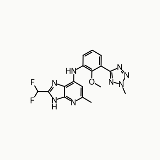 COc1c(Nc2cc(C)nc3[nH]c(C(F)F)nc23)cccc1-c1nnn(C)n1